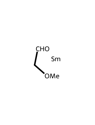 COCC=O.[Sm]